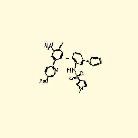 COc1ccc(-c2ccc(C)c(N)c2)nc1.Cc1ccc(-n2cccc2)cc1NS(=O)(=O)c1ccn(C)c1